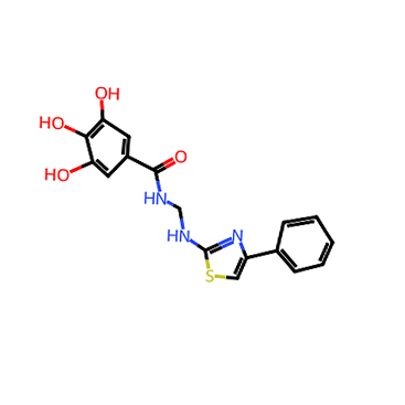 O=C(NCNc1nc(-c2ccccc2)cs1)c1cc(O)c(O)c(O)c1